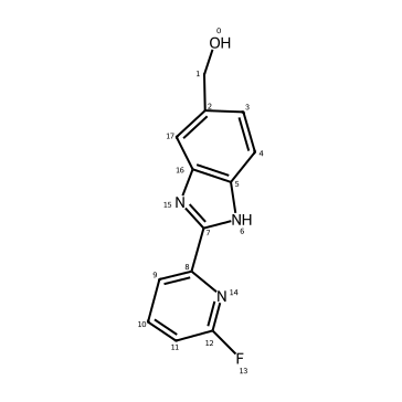 OCc1ccc2[nH]c(-c3cccc(F)n3)nc2c1